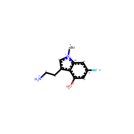 CCCCn1cc(CCN)c2c(O)cc(F)cc21